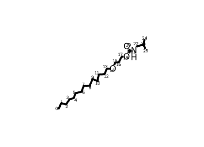 CCCCCCCCCCCCCCOCCCOC(=O)NCC(C)C